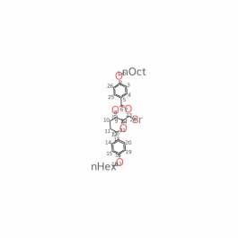 CCCCCCCCOc1ccc(C(=O)O[C@H]2CC[C@@H](c3ccc(OCCCCCC)cc3)O[C@@H]2CBr)cc1